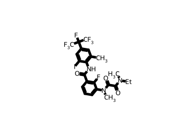 CCN(C)C(=O)C(=O)N(C)c1cccc(C(=O)Nc2c(C)cc(C(F)(C(F)(F)F)C(F)(F)F)cc2I)c1F